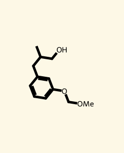 COCOc1cccc(CC(C)CO)c1